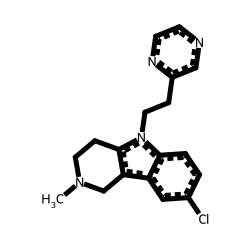 CN1CCc2c(c3cc(Cl)ccc3n2CCc2cnccn2)C1